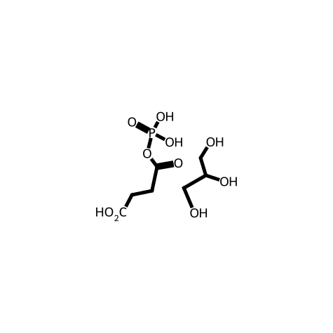 O=C(O)CCC(=O)OP(=O)(O)O.OCC(O)CO